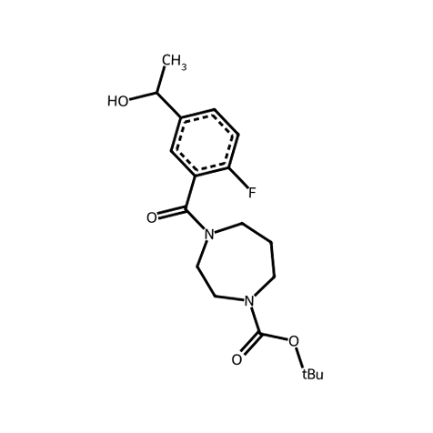 CC(O)c1ccc(F)c(C(=O)N2CCCN(C(=O)OC(C)(C)C)CC2)c1